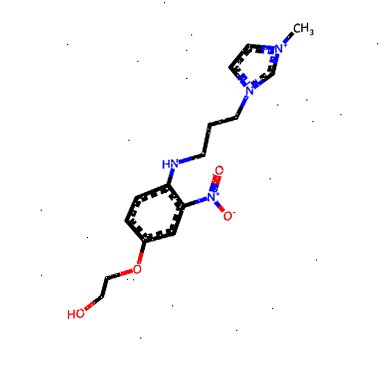 C[n+]1ccn(CCCNc2ccc(OCCO)cc2[N+](=O)[O-])c1